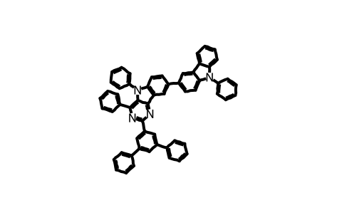 c1ccc(-c2cc(-c3ccccc3)cc(-c3nc(-c4ccccc4)c4c(n3)c3cc(-c5ccc6c(c5)c5ccccc5n6-c5ccccc5)ccc3n4-c3ccccc3)c2)cc1